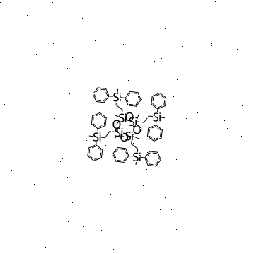 C[Si]1(CC[Si](C)(c2ccccc2)c2ccccc2)O[Si](C)(CC[Si](C)(c2ccccc2)c2ccccc2)O[Si](C)(CC[Si](C)(c2ccccc2)c2ccccc2)O[Si](C)(CC[Si](C)(c2ccccc2)c2ccccc2)O1